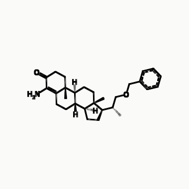 C[C@@H](COCc1ccccc1)[C@H]1CC[C@H]2[C@@H]3CCC4=C(N)C(=O)CC[C@]4(C)[C@H]3CC[C@]12C